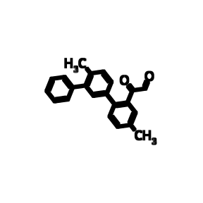 Cc1ccc(-c2ccc(C)c(-c3ccccc3)c2)c(C(=O)C=O)c1